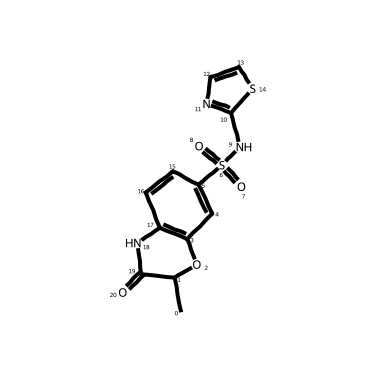 CC1Oc2cc(S(=O)(=O)Nc3nccs3)ccc2NC1=O